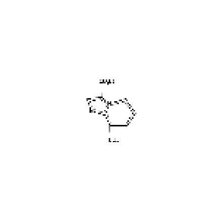 CCOC(=O)c1cnc2c(C(=O)O)cccn12